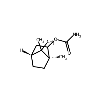 CC1(C)[C@@H]2CC[C@]1(C)C(OC(N)=O)C2